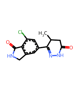 CC1CC(=O)NN=C1c1cc(Cl)c2c(c1)CNC2=O